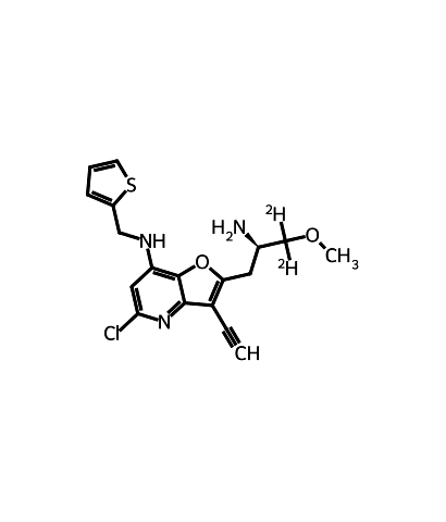 [2H]C([2H])(OC)[C@H](N)Cc1oc2c(NCc3cccs3)cc(Cl)nc2c1C#C